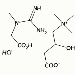 CN(CC(=O)O)C(=N)N.C[N+](C)(C)CC(O)CC(=O)[O-].Cl